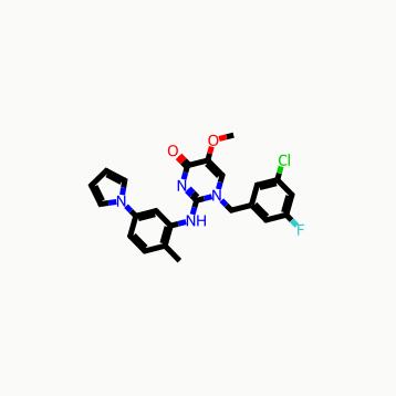 COc1cn(Cc2cc(F)cc(Cl)c2)c(Nc2cc(-n3cccc3)ccc2C)nc1=O